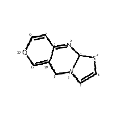 C1=CC2=NC3SC=CN3CC2=CO1